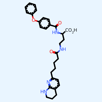 O=C(CCCCc1ccc2c(n1)NCCC2)NCCC(NC(=O)c1ccc(Oc2ccccc2)cc1)C(=O)O